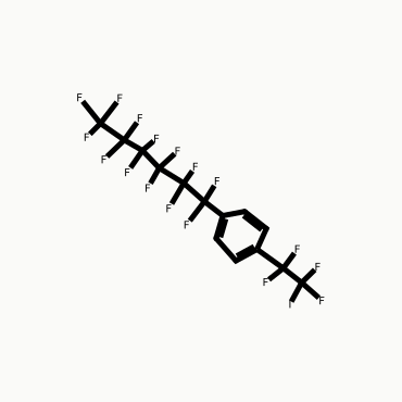 FC(F)(F)C(F)(F)C(F)(F)C(F)(F)C(F)(F)C(F)(F)c1ccc(C(F)(F)C(F)(F)I)cc1